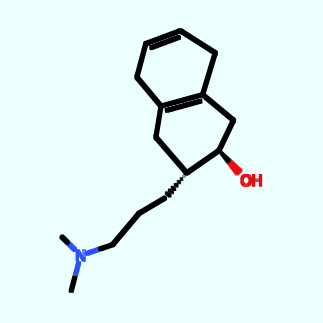 CN(C)CCC[C@@H]1CC2=C(CC=CC2)C[C@H]1O